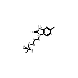 Cc1ccc2c(c1)[nH]c(=O)n2CCCOS(C)(=O)=O